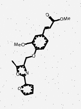 COC(=O)C=Cc1ccc(OCc2nc(-c3ccco3)oc2C)c(OC)c1